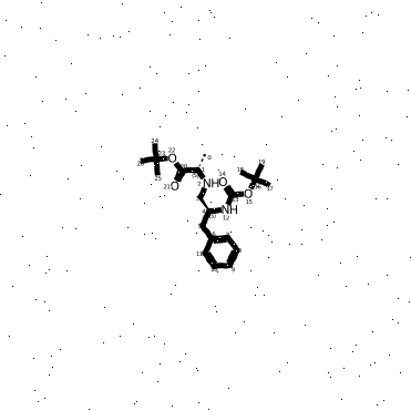 C[C@H](NC[C@H](Cc1ccccc1)NC(=O)OC(C)(C)C)C(=O)OC(C)(C)C